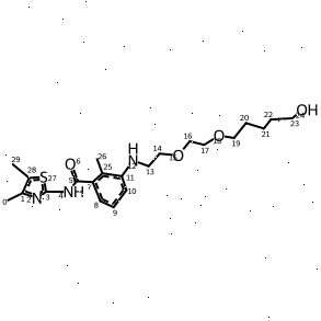 Cc1nc(NC(=O)c2cccc(NCCOCCOCCCCCO)c2C)sc1C